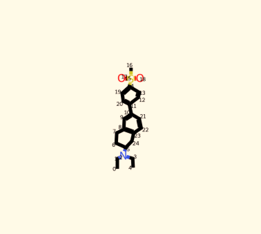 CCN(CC)C1CCc2cc(-c3ccc(S(C)(=O)=O)cc3)ccc2C1